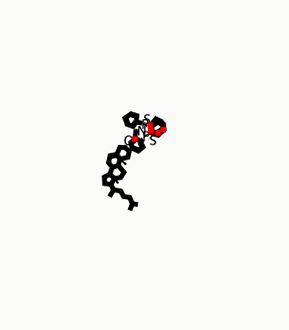 CC(C)CCCC(C)C1CCC2C3CC=C4C[C@@H](OCCN(P(=S)(c5ccccc5)c5ccccc5)P(=S)(c5ccccc5)c5ccccc5)CC[C@]4(C)C3CC[C@]12C